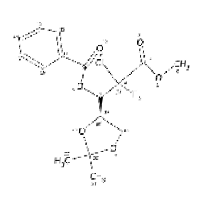 COC(=O)[C@](F)(Cl)C(OC(=O)c1ccccc1)[C@H]1COC(C)(C)O1